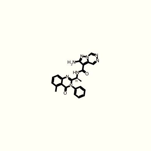 Cc1cccc2nc([C@H](C)NC(=O)c3c(N)nn4cnncc34)n(-c3ccccc3)c(=O)c12